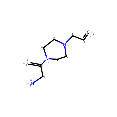 C=CCN1CCN(C(=C)CN)CC1